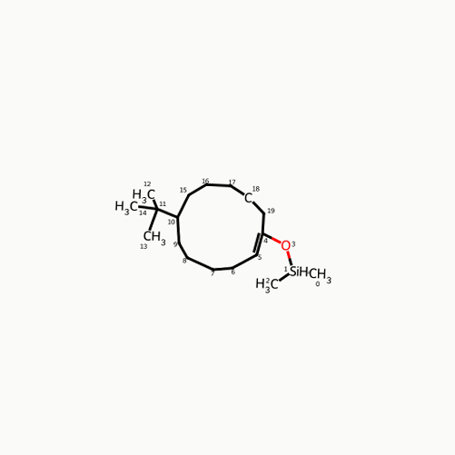 C[SiH](C)OC1=CCCCCC(C(C)(C)C)CCCCC1